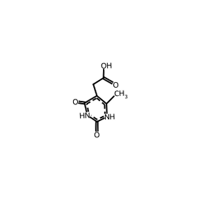 Cc1[nH]c(=O)[nH]c(=O)c1CC(=O)O